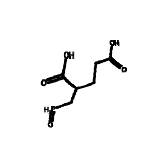 O=[PH2]CC(CCC(=O)O)C(=O)O